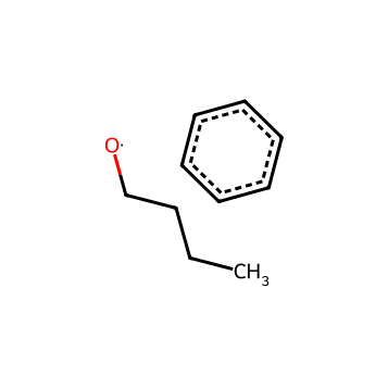 CCCC[O].c1ccccc1